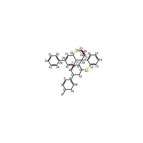 CC1C=CC(C2C=CC3C(C2)Sc2ccccc2C32C3=CCCC=C3SC3C=C(c4ccccc4)C=CC32)=CC1